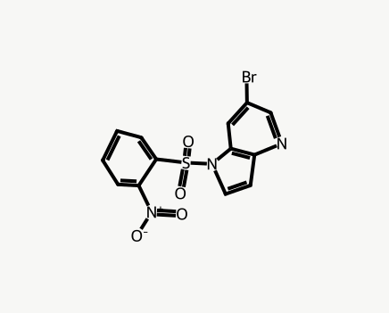 O=[N+]([O-])c1ccccc1S(=O)(=O)n1ccc2ncc(Br)cc21